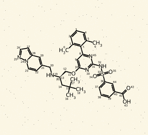 Cc1cccc(C)c1-c1cc(OC[C@@H](CC(C)(C)C)NCc2ccn3nccc3c2)nc(NS(=O)(=O)c2cccc(C(=O)O)c2)n1